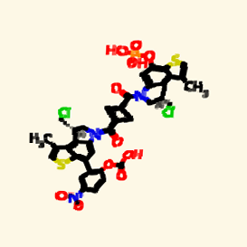 Cc1csc2c(OP(=O)(O)O)cc3c(c12)[C@H](CCl)CN3C(=O)C12CC(C(=O)N3C[C@@H](CCl)c4c3cc(-c3cc([N+](=O)[O-])ccc3OC(=O)O)c3scc(C)c43)(C1)C2